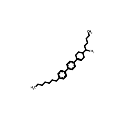 CCCCCCCc1ccc(-c2ccc(C3=CCC(C(C)CCCCC)CC3)cc2)cc1